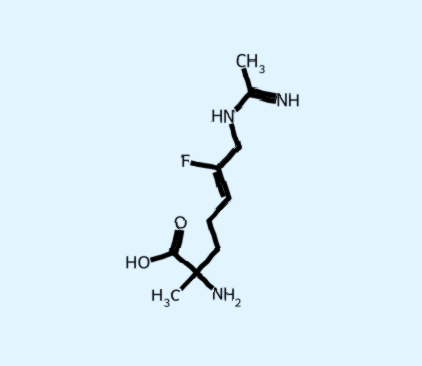 CC(=N)NCC(F)=CCCC(C)(N)C(=O)O